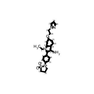 CCn1c(-c2ccc(N3CCCS3(=O)=O)cc2)c(N)c2ccc(OCCn3cccn3)cc21